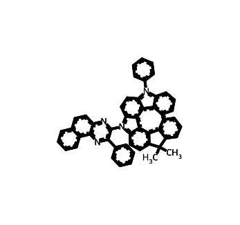 CC1(C)c2cccc3c4cccc5c4c4c6c7c(c1ccc7n(-c1nc7ccc8ccccc8c7nc1-c1ccccc1)c6ccc4n5-c1ccccc1)c23